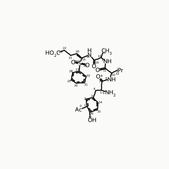 CC(=O)c1cc(CC(N)C(=O)NC(C(=O)NC(C)C(=O)NC(=CCCC(=O)O)S(=O)(=O)c2ccccc2)C(C)C)ccc1O